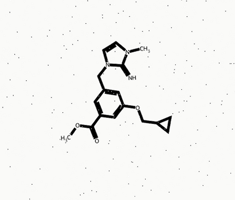 COC(=O)c1cc(Cn2ccn(C)c2=N)cc(OCC2CC2)c1